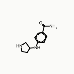 NC(=O)c1ccc(NC2CCNC2)cc1